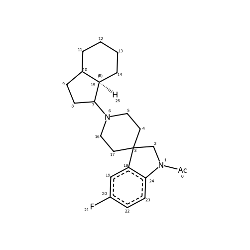 CC(=O)N1CC2(CCN(C3CCC4CCCC[C@H]43)CC2)c2cc(F)ccc21